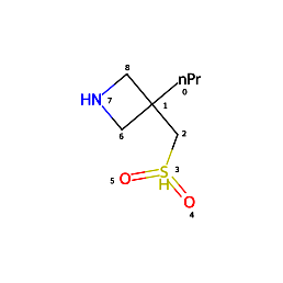 CCCC1(C[SH](=O)=O)CNC1